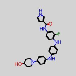 O=C(Nc1ccc(Nc2ccc(Nc3ccc(N4CCC(O)CC4)cc3)cc2)c(F)c1)c1cc[nH]c1